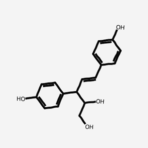 OCC(O)C(C=Cc1ccc(O)cc1)c1ccc(O)cc1